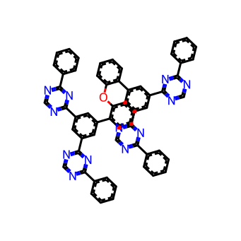 c1ccc(-c2ncnc(-c3cc(-c4ncnc(-c5ccccc5)n4)cc(-c4ccccc4Oc4ccccc4-c4cc(-c5ncnc(-c6ccccc6)n5)cc(-c5ncnc(-c6ccccc6)n5)c4)c3)n2)cc1